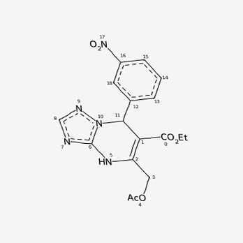 CCOC(=O)C1=C(COC(C)=O)Nc2ncnn2C1c1cccc([N+](=O)[O-])c1